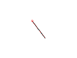 CCCCCCCCCCCCCCCCCCCCCCCCCCCCCCCC[O]